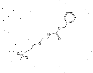 CS(=O)(=O)OCCOCCNC(=O)OCc1ccccc1